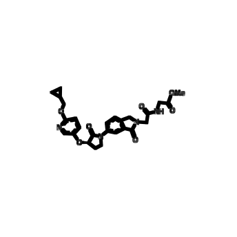 COC(=O)CNC(=O)CN1Cc2ccc(N3CC[C@@H](Oc4ccc(OCC5CC5)nc4)C3=O)cc2C1=O